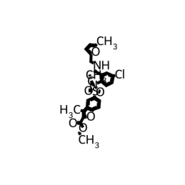 CCOC(=O)c1oc2ccc(S(=O)(=O)N(CC)c3ccc(Cl)cc3CNCc3ccc(C)o3)cc2c1C